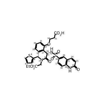 CCOC(=O)CN(Cc1cccs1)C(=O)[C@@H](NS(=O)(=O)c1ccc2[nH]c(=O)ccc2c1)c1ccccc1OCCC(=O)O